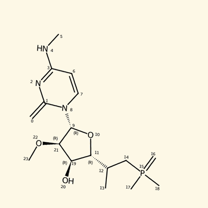 C=C1N=C(NC)C=CN1[C@@H]1O[C@H](C(C)CP(=C)(C)C)[C@@H](O)[C@H]1OC